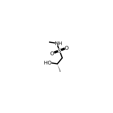 CNS(=O)(=O)C[C@H](C)O